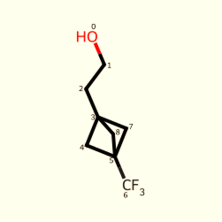 OCCC12CC(C(F)(F)F)(C1)C2